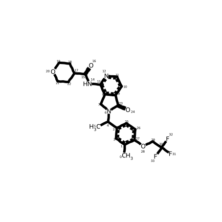 Cc1cc(C(C)N2Cc3c(ccnc3NC(=O)C3CCOCC3)C2=O)ccc1OCC(F)(F)F